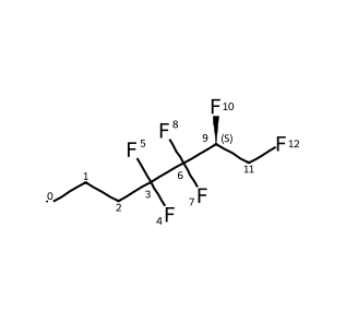 [CH2]CCC(F)(F)C(F)(F)[C@@H](F)CF